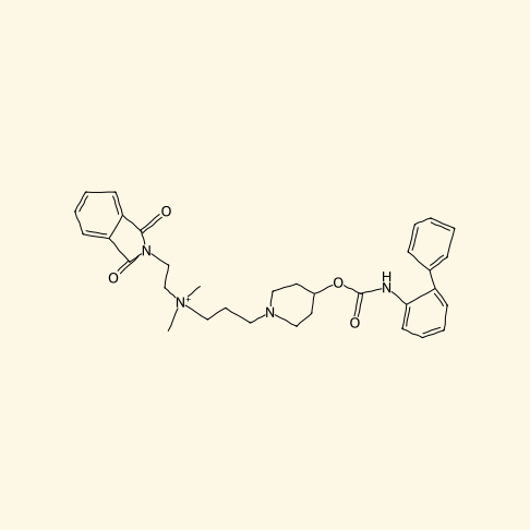 C[N+](C)(CCCN1CCC(OC(=O)Nc2ccccc2-c2ccccc2)CC1)CCN1C(=O)c2ccccc2C1=O